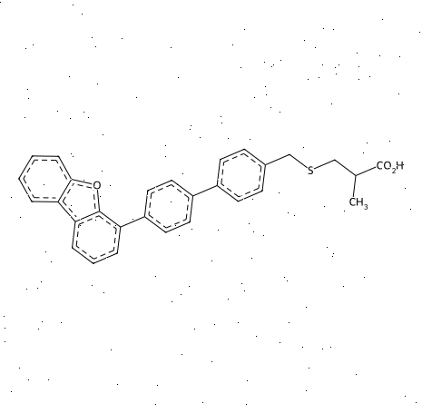 CC(CSCc1ccc(-c2ccc(-c3cccc4c3oc3ccccc34)cc2)cc1)C(=O)O